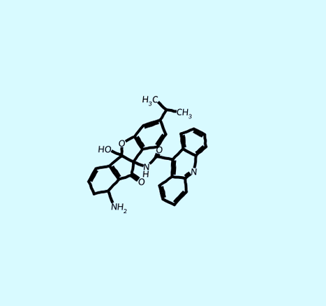 CC(C)c1ccc2c(c1)OC1(O)C3=C(C(=O)C21NC(=O)c1c2ccccc2nc2ccccc12)C(N)CC=C3